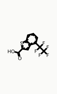 O=C(O)c1cc2c(C(F)(F)C(F)(F)F)cccc2s1